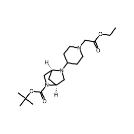 CCOC(=O)CN1CCC(N2C[C@@H]3C[C@H]2CN3C(=O)OC(C)(C)C)CC1